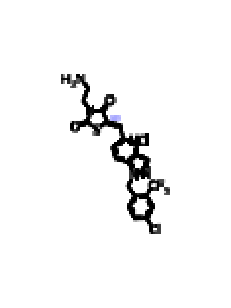 Cl.NCCN1C(=O)S/C(=C\c2ccc3c(cnn3Cc3ccc(Cl)cc3C(F)(F)F)c2)C1=O